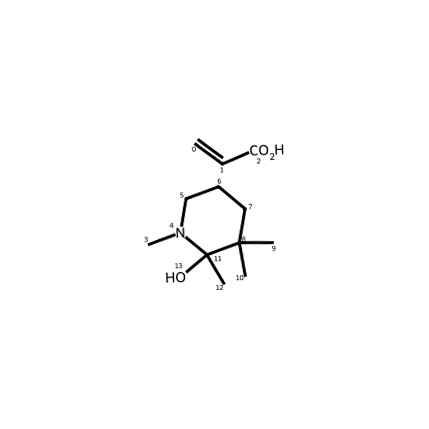 C=CC(=O)O.CN1CCCC(C)(C)C1(C)O